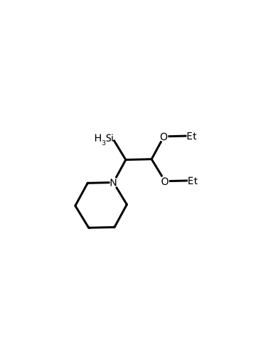 CCOC(OCC)C([SiH3])N1CCCCC1